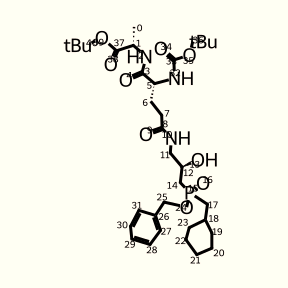 C[C@H](NC(=O)[C@@H](CCC(=O)NC[C@@H](O)CP(=O)(CC1CCCCC1)OCc1ccccc1)NC(=O)OC(C)(C)C)C(=O)OC(C)(C)C